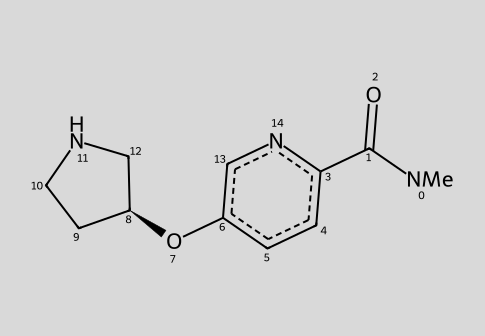 CNC(=O)c1ccc(O[C@H]2CCNC2)cn1